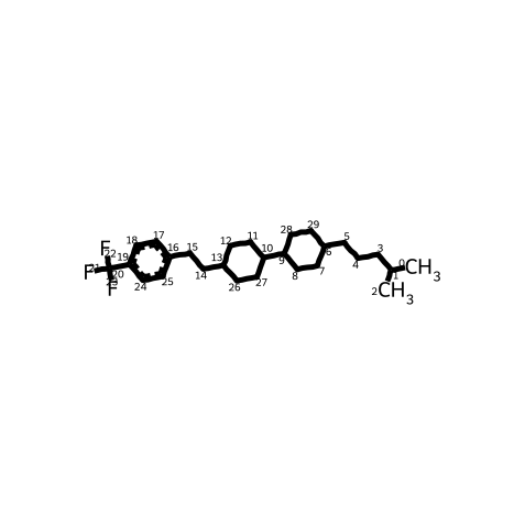 CC(C)CCCC1CCC(C2CCC(CCc3ccc(C(F)(F)F)cc3)CC2)CC1